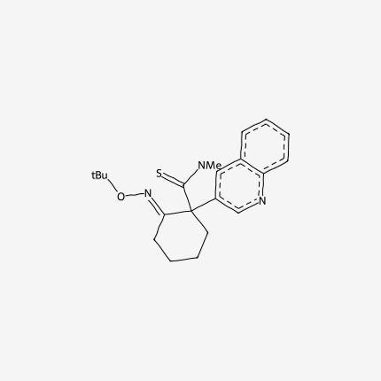 CNC(=S)C1(c2cnc3ccccc3c2)CCCC/C1=N\OC(C)(C)C